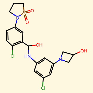 O=S1(=O)CCCN1c1ccc(Cl)c(C(O)Nc2cc(Cl)cc(N3CC(O)C3)c2)c1